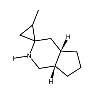 CC1CC12C[C@@H]1CCC[C@@H]1CN2I